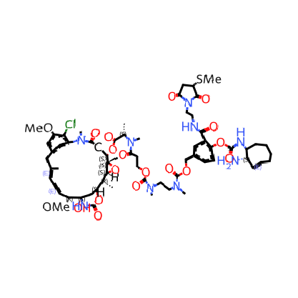 COc1cc2cc(c1Cl)N(C)C(=O)C[C@H](OC(=O)[C@H](C)N(C)C(=O)CCOC(=O)N(C)CCN(C)C(=O)OCc1ccc(OC(=O)NC3CCCC/C=C/[C@@H]3N)c(C(=O)NCCN3C(=O)CC(SC)C3=O)c1)[C@]1(C)O[C@H]1[C@H](C)[C@@H]1C[C@@](O)(NC(=O)O1)[C@H](OC)/C=C/C=C(\C)C2